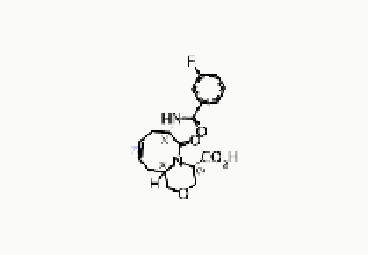 O=C(N[C@H]1C/C=C\C[C@H]2COC[C@@H](C(=O)O)N2C1=O)c1cccc(F)c1